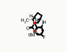 C[C@@H]1[C@H]2CC[C@@H](CN1C(=O)OC(C)(C)C)N2Cc1ncc(F)cc1F